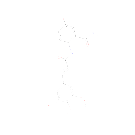 COc1cc(/C=C/C(=O)Nc2ccc(O)cc2C(N)=O)cc(OC)c1OC